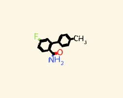 Cc1ccc(-c2cc(F)ccc2C(N)=O)cc1